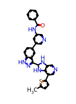 Cc1ccc(-c2cncc3c2NC(c2n[nH]c4ccc(-c5cncc(NC(=O)c6ccccc6)c5)cc24)N3)s1